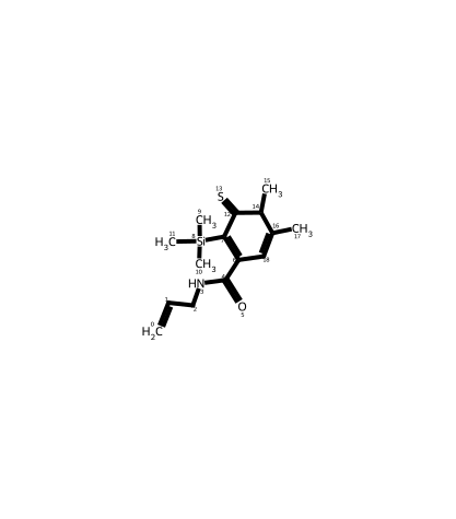 C=CCNC(=O)C1=C([Si](C)(C)C)C(=S)C(C)C(C)=C1